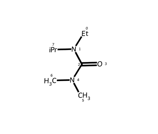 CCN(C(=O)N(C)C)C(C)C